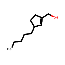 CCCCCC1C=C(CO)CC1